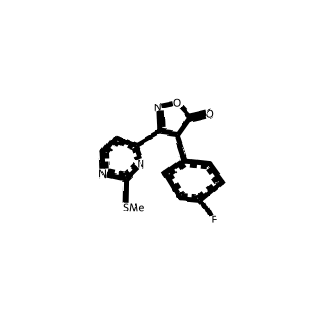 CSc1nccc(C2=NOC(=O)C2c2ccc(F)cc2)n1